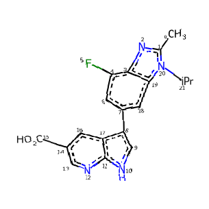 Cc1nc2c(F)cc(-c3c[nH]c4ncc(C(=O)O)cc34)cc2n1C(C)C